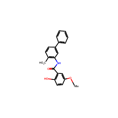 CCCCOc1ccc(O)c(C(=O)Nc2cc(-c3ccccc3)ccc2C(=O)O)c1